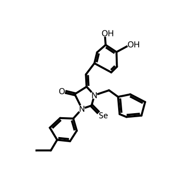 CCc1ccc(N2C(=O)C(=Cc3ccc(O)c(O)c3)N(Cc3ccccc3)C2=[Se])cc1